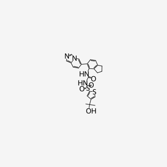 CC(C)(O)c1csc(S(=O)(=O)NC(=O)Nc2c(-c3ccc4cncn4c3)ccc3c2CCC3)c1